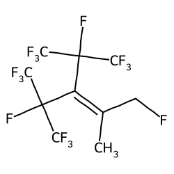 CC(CF)=C(C(F)(C(F)(F)F)C(F)(F)F)C(F)(C(F)(F)F)C(F)(F)F